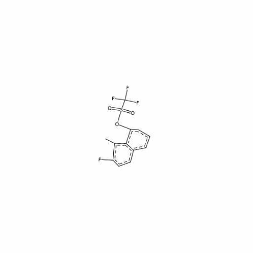 Cc1c(F)ccc2cccc(OS(=O)(=O)C(F)(F)F)c12